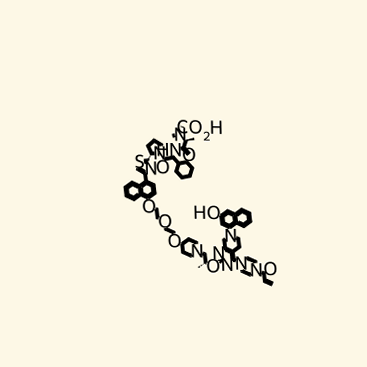 C=CC(=O)N1CCN(c2nc(O[C@H](C)CN3CCC(OCCOCCOc4ccc(-c5csc([C@@H]6CCCN6C(=O)[C@@H](NC(=O)[C@H](C)N(C)C(=O)O)C6CCCCC6)n5)c5ccccc45)CC3)nc3c2CCN(c2cc(O)cc4ccccc24)C3)CC1